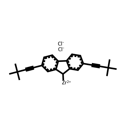 CC(C)(C)C#Cc1ccc2c(c1)[CH]([Zr+2])c1cc(C#CC(C)(C)C)ccc1-2.[Cl-].[Cl-]